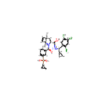 O=C(N[C@@H](c1cc(F)c(Cl)cc1F)C1CC1)[C@H]1C[C@H]2C#C[C@H]2N1C(=O)c1cccc(S(=O)(=O)C2CC2)c1